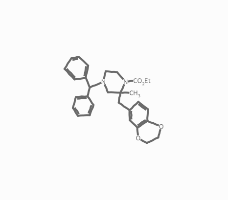 CCOC(=O)N1CCN(C(c2ccccc2)c2ccccc2)CC1(C)Cc1ccc2c(c1)OCCO2